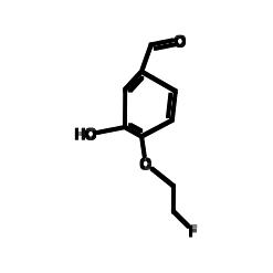 O=Cc1ccc(OCCF)c(O)c1